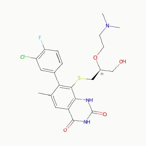 Cc1cc2c(=O)[nH]c(=O)[nH]c2c(SC[C@H](CO)OCCN(C)C)c1-c1ccc(F)c(Cl)c1